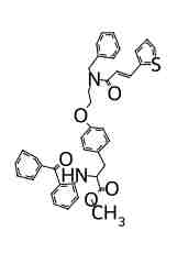 COC(=O)C(Cc1ccc(OCCN(Cc2ccccc2)C(=O)C=Cc2cccs2)cc1)Nc1ccccc1C(=O)c1ccccc1